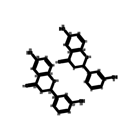 O=C1CC(c2cccc(O)c2)Oc2ccc(O)cc21.O=C1CC(c2cccc(O)c2)Oc2ccc(O)cc21